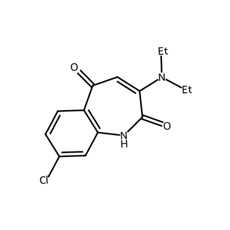 CCN(CC)c1cc(=O)c2ccc(Cl)cc2[nH]c1=O